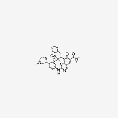 CN1CCSC(c2ccc(Nc3ncc4cc(C(=O)N(C)C)c(=O)n(C5Cc6ccccc6S(=O)(=O)C5(C)C)c4n3)cc2)C1